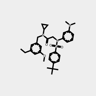 CCc1cc(CN(C(=O)CN(c2cccc(N(C)C)c2)S(=O)(=O)c2ccc(C(C)(C)C)cc2)C2CC2)cc(OC)c1